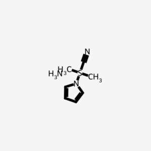 CS(C)(C#N)n1cccc1.N